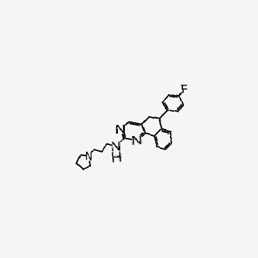 Fc1ccc(C2Cc3cnc(NCCCN4CCCC4)nc3-c3ccccc32)cc1